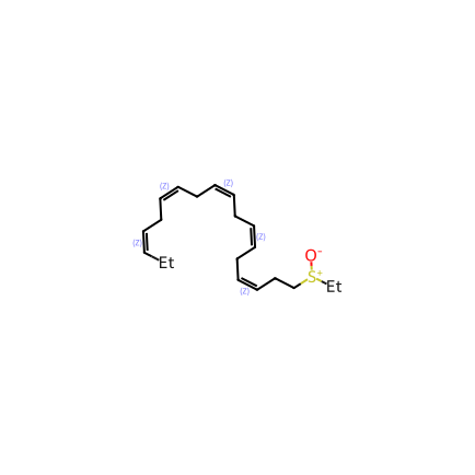 CC/C=C\C/C=C\C/C=C\C/C=C\C/C=C\CC[S+]([O-])CC